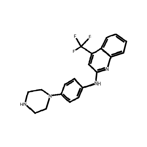 FC(F)(F)c1cc(Nc2ccc(N3CCNCC3)cc2)nc2ccccc12